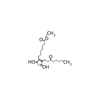 CCCCCC(=O)CC[C@@H]1[C@H](CCCCCCC(=O)OCC)[C@@H](O)C[C@H]1O